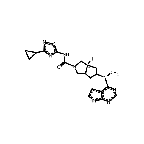 CN(c1ncnc2[nH]ccc12)C1CC2CN(C(=O)Nc3nc(C4CC4)ns3)C[C@@H]2C1